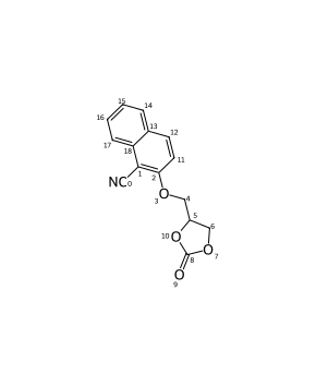 N#Cc1c(OCC2COC(=O)O2)ccc2ccccc12